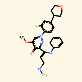 CNC/C=C(\NC1C=CC=CC1)c1nn(-c2ccc(C3CCOCC3)cc2F)cc(OC)c1=O